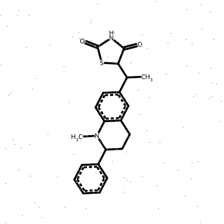 CC(c1ccc2c(c1)CCC(c1ccccc1)N2C)C1SC(=O)NC1=O